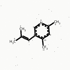 CC(C)=Cc1cnc(C)cc1C(F)(F)F